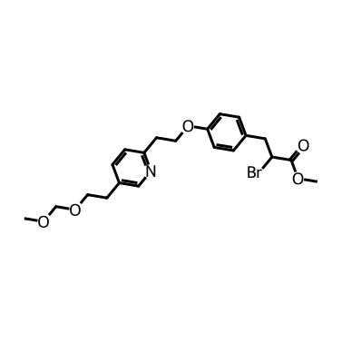 COCOCCc1ccc(CCOc2ccc(CC(Br)C(=O)OC)cc2)nc1